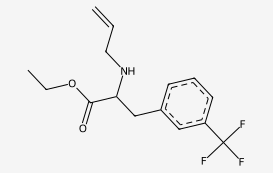 C=CCNC(Cc1cccc(C(F)(F)F)c1)C(=O)OCC